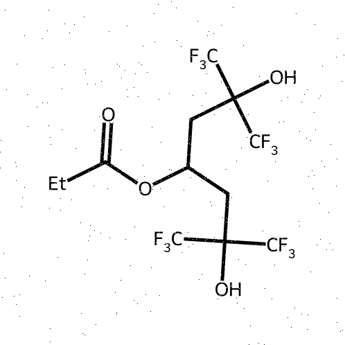 CCC(=O)OC(CC(O)(C(F)(F)F)C(F)(F)F)CC(O)(C(F)(F)F)C(F)(F)F